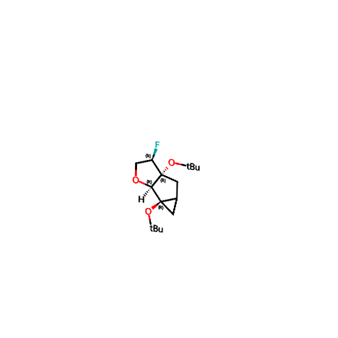 CC(C)(C)O[C@]12CC3C[C@]3(OC(C)(C)C)[C@H]1OC[C@H]2F